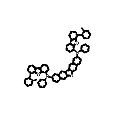 Cc1ccccc1-c1cccc2c1oc1c(N(c3ccccc3)c3ccc4cc5oc6cc7ccc(N(c8ccccc8)c8cccc9c8oc8c(-c%10ccccc%10C)cccc89)cc7cc6c5cc4c3)cccc12